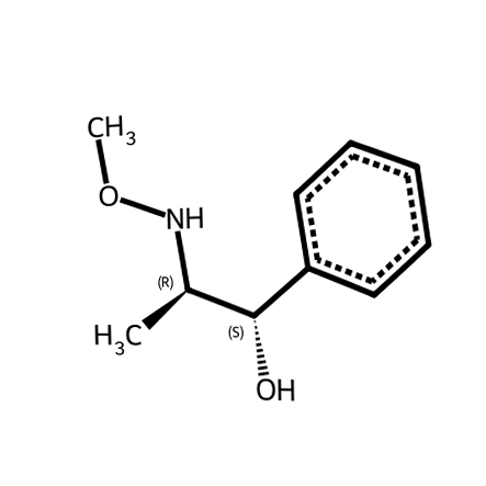 CON[C@H](C)[C@@H](O)c1ccccc1